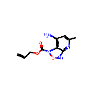 C=CCOC(=O)N1ONc2nc(C)cc(N)c21